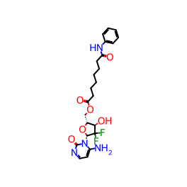 Nc1ccnc(=O)n1[C@@H]1O[C@H](COC(=O)CCCCCCC(=O)Nc2ccccc2)[C@@H](O)C1(F)F